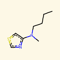 CCCCN(C)c1cs[c]n1